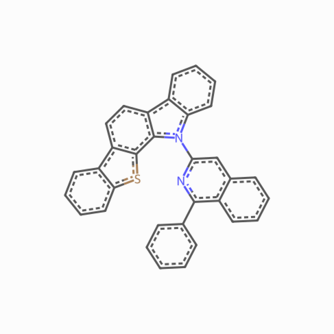 c1ccc(-c2nc(-n3c4ccccc4c4ccc5c6ccccc6sc5c43)cc3ccccc23)cc1